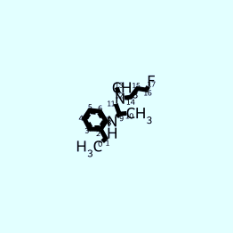 CCc1ccccc1NC(C)CN(C)CCCF